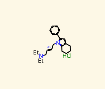 CCN(CC)C/C=C/Cn1c(-c2ccccc2)cc2c1CCCC2.Cl